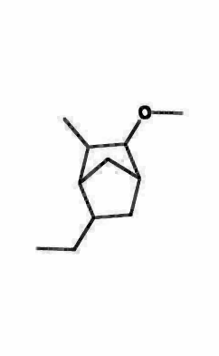 CCC1CC2CC1C(C)C2OC